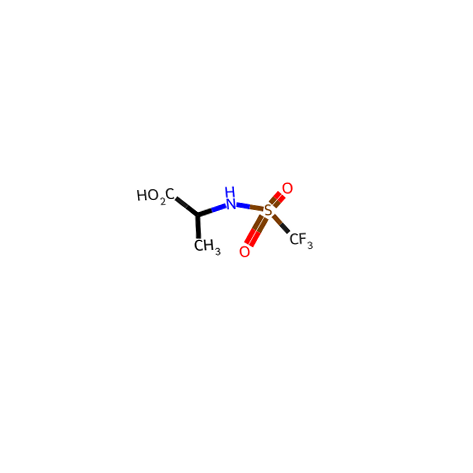 CC(NS(=O)(=O)C(F)(F)F)C(=O)O